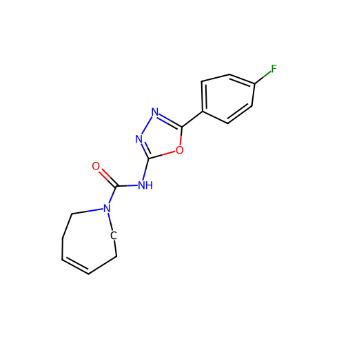 O=C(Nc1nnc(-c2ccc(F)cc2)o1)N1CCC=CCC1